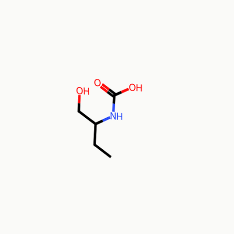 CCC(CO)NC(=O)O